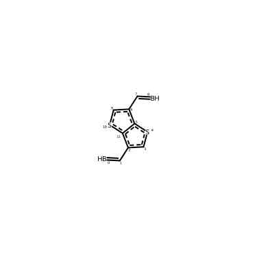 B=Cc1csc2c(C=B)csc12